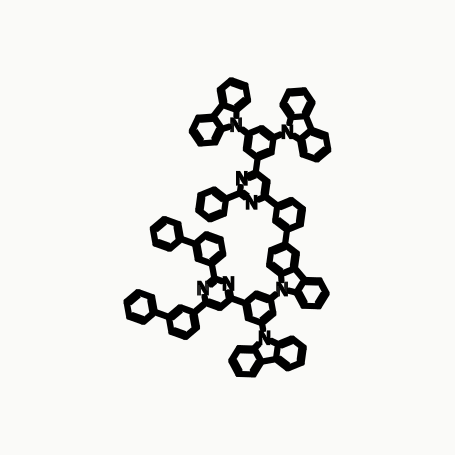 c1ccc(-c2cccc(-c3cc(-c4cc(-n5c6ccccc6c6ccccc65)cc(-n5c6ccccc6c6cc(-c7cccc(-c8cc(-c9cc(-n%10c%11ccccc%11c%11ccccc%11%10)cc(-n%10c%11ccccc%11c%11ccccc%11%10)c9)nc(-c9ccccc9)n8)c7)ccc65)c4)nc(-c4cccc(-c5ccccc5)c4)n3)c2)cc1